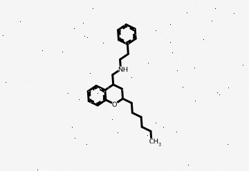 CCCCCCC1CC(CNCCc2ccccc2)c2ccccc2O1